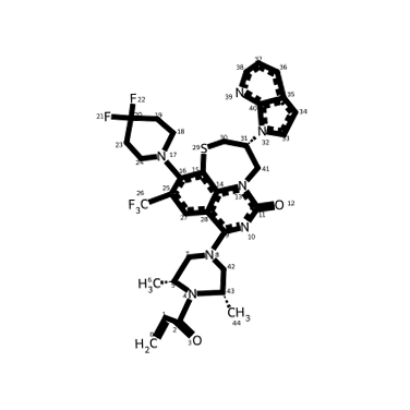 C=CC(=O)N1[C@H](C)CN(c2nc(=O)n3c4c(c(N5CCC(F)(F)CC5)c(C(F)(F)F)cc24)SC[C@H](n2ccc4cccnc42)C3)C[C@@H]1C